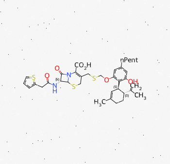 C=C(C)[C@@H]1CCC(C)=C[C@H]1c1c(O)cc(CCCCC)cc1OCSCC1=C(C(=O)O)N2C(=O)[C@@H](NC(=O)Cc3cccs3)C2SC1